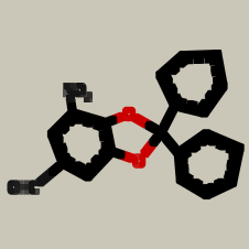 O=Cc1cc2c(c([N+](=O)[O-])c1)OC(c1ccccc1)(c1ccccc1)O2